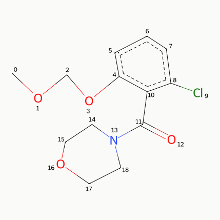 COCOc1[c]ccc(Cl)c1C(=O)N1CCOCC1